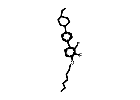 CCCCCCCOc1ccc(-c2ccc(C3CCC(CC)CC3)cc2)c(F)c1F